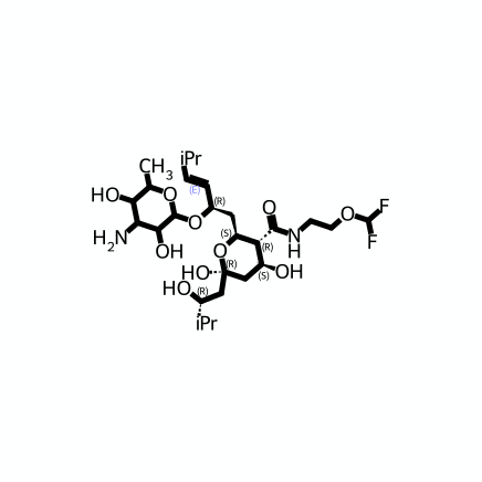 CC(C)/C=C/[C@@H](C[C@@H]1O[C@](O)(C[C@@H](O)C(C)C)C[C@H](O)[C@H]1C(=O)NCCOC(F)F)OC1OC(C)C(O)C(N)C1O